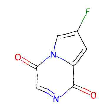 O=C1N=CC(=O)n2cc(F)cc21